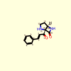 O=C(/C=C/c1ccccc1)[C@@]12NCC[C@H]1NC2=O